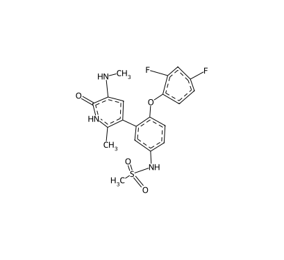 CNc1cc(-c2cc(NS(C)(=O)=O)ccc2Oc2ccc(F)cc2F)c(C)[nH]c1=O